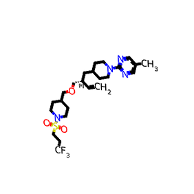 C=C[C@H](COCC1CCN(S(=O)(=O)CCC(F)(F)F)CC1)CC1CCN(c2ncc(C)cn2)CC1